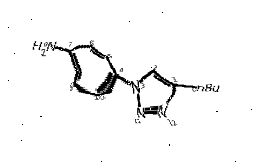 CCCCc1cn(-c2ccc(N)cc2)nn1